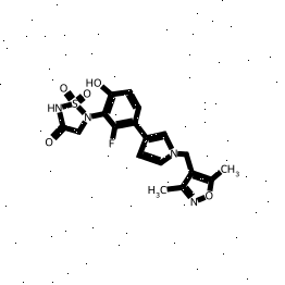 Cc1noc(C)c1Cn1ccc(-c2ccc(O)c(N3CC(=O)NS3(=O)=O)c2F)c1